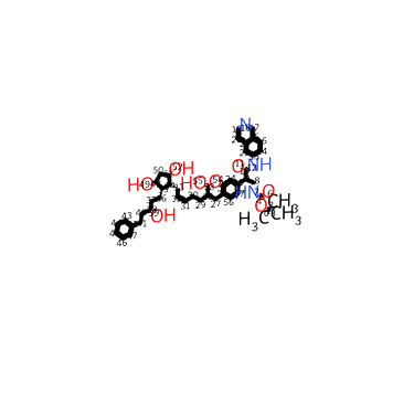 CC(C)(C)OC(=O)NCC(C(=O)Nc1ccc2cnccc2c1)c1ccc(CC(CC/C=C\C[C@@H]2[C@@H](CCC(O)CCc3ccccc3)[C@H](O)C[C@@H]2O)C(=O)O)cc1